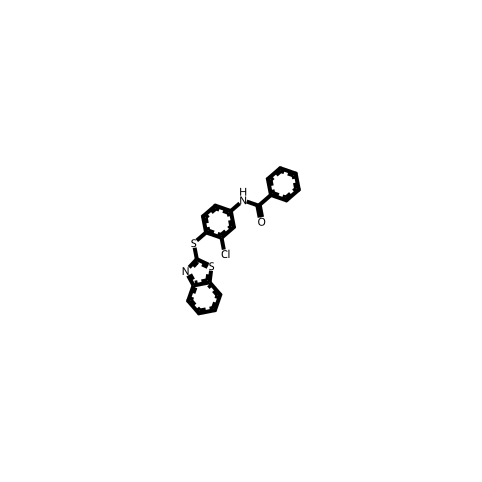 O=C(Nc1ccc(Sc2nc3ccccc3s2)c(Cl)c1)c1ccccc1